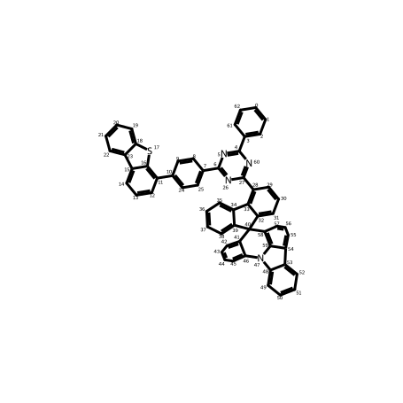 c1ccc(-c2nc(-c3ccc(-c4cccc5c4sc4ccccc45)cc3)nc(-c3cccc4c3-c3ccccc3C43c4ccccc4-n4c5ccccc5c5cccc3c54)n2)cc1